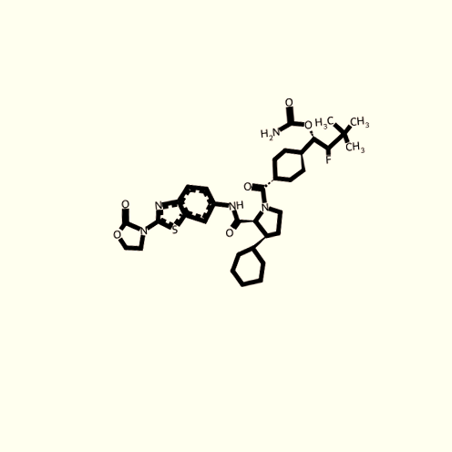 CC(C)(C)C(F)[C@@H](OC(N)=O)[C@H]1CC[C@H](C(=O)N2CC[C@@H](C3CCCCC3)[C@H]2C(=O)Nc2ccc3nc(N4CCOC4=O)sc3c2)CC1